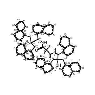 CCC(CC)(C(=O)N[C@@H](c1cccc2ccccc12)C(O)(Cc1cccc2ccccc12)Cc1cccc2ccccc12)C(=O)N[C@@H](c1cccc2ccccc12)C(O)(Cc1cccc2ccccc12)Cc1cccc2ccccc12